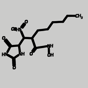 CCCCCCC(C(=O)NO)C(C1NC(=O)NC1=O)[SH](=O)=O